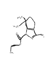 CCOC(=O)n1nc(N)c2c1C(C)(C)CC2